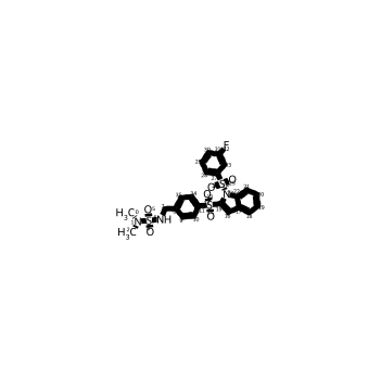 CN(C)S(=O)(=O)NCc1ccc(S(=O)(=O)c2cc3ccccc3n2S(=O)(=O)c2cccc(F)c2)cc1